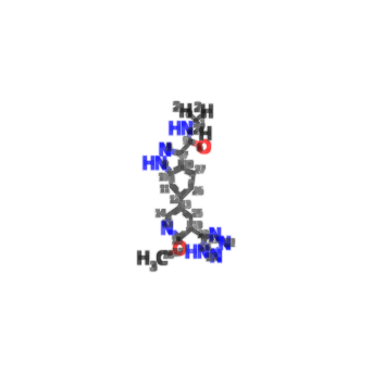 [2H]C([2H])([2H])NC(=O)c1n[nH]c2cc(-c3cnc(OC)c(-c4nnn[nH]4)c3)ccc12